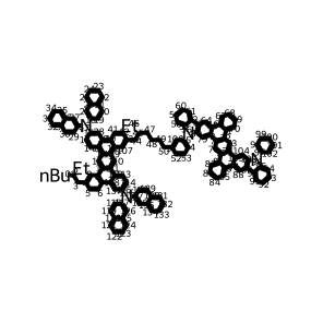 CCCCC(CC)Cc1ccc2c(c1)c1cc3c4ccc(N(c5ccc6ccccc6c5)c5ccc6ccccc6c5)cc4c4ccc(CC(CC)CCCCc5cccc(-n6c7ccccc7c7cc8c9ccccc9c9cc%10c(cc9c8cc76)c6ccccc6c6cc7c8ccccc8n(-c8ccccc8)c7cc%106)c5)cc4c3cc1c1ccc(N(c3ccc4ccccc4c3)c3ccc4ccccc4c3)cc21